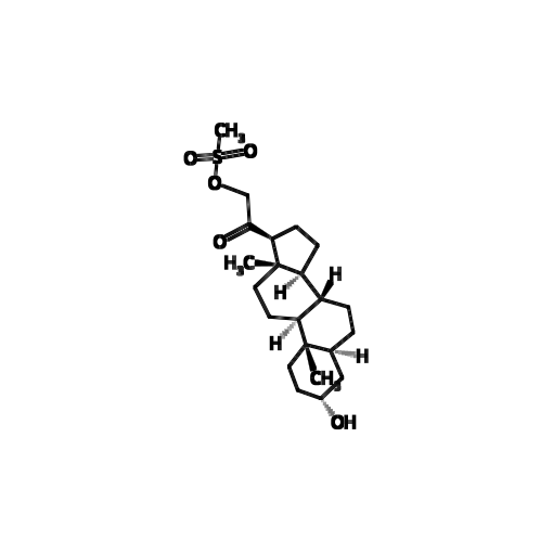 C[C@]12CC[C@@H](O)C[C@@H]1CC[C@@H]1[C@@H]2CC[C@]2(C)[C@@H](C(=O)COS(C)(=O)=O)CC[C@@H]12